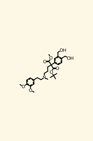 COC(=O)C(CCCN(C)CCc1ccc(OC)c(OC)c1)(C(=O)OC(C)(C)C)c1ccc(CO)c(CO)c1